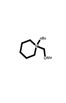 CCCC[N+]1(COC)CCCCC1